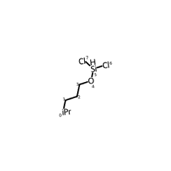 CC(C)CCCO[SiH](Cl)Cl